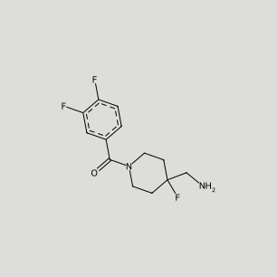 NCC1(F)CCN(C(=O)c2ccc(F)c(F)c2)CC1